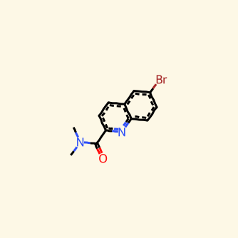 CN(C)C(=O)c1ccc2cc(Br)ccc2n1